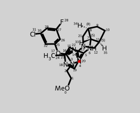 COCCn1nc(N[C@@H]2[C@@H]3CC[C@H]2CN(c2cc(C)ncn2)C3)nc1Oc1cc(F)cc(Cl)c1